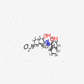 O=[N+]([O-])c1ccc2cc(O)c(N=Nc3c(O)ccc4ccccc34)c(S(=O)(=O)O)c2c1